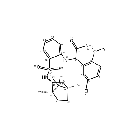 COc1ccc(Cl)cc1C(Nc1ccccc1S(=O)(=O)N[C@H]1C[C@H]2CC[C@]1(C)C2(C)C)C(N)=O